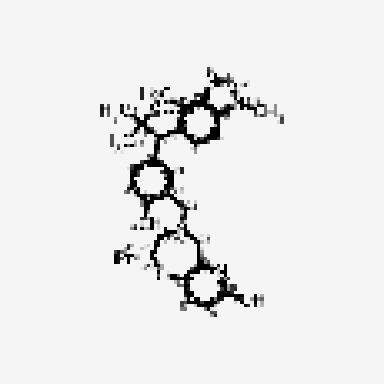 Cc1ccc(C(c2ccc3c(nnn3C)c2C)C(C)(C)C(=O)O)cc1CN1Cc2nc(O)ccc2O[C@H](C(C)C)C1